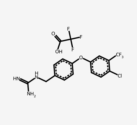 N=C(N)NCc1ccc(Oc2ccc(Cl)c(C(F)(F)F)c2)cc1.O=C(O)C(F)(F)F